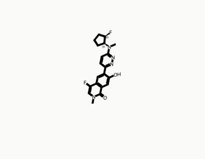 CN(c1ccc(-c2cc3c(F)cn(C)c(=O)c3cc2O)nn1)[C@H]1CCC[C@H]1F